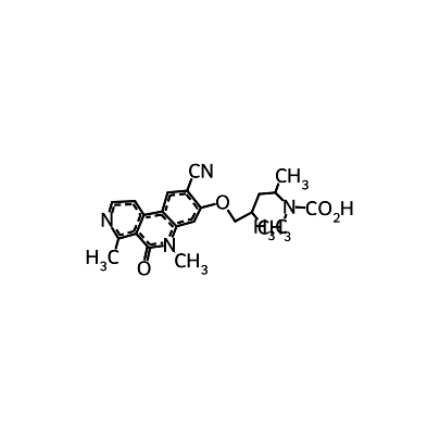 Cc1nccc2c1c(=O)n(C)c1cc(OCC(C)CC(C)N(C)C(=O)O)c(C#N)cc21